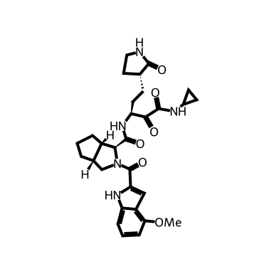 COc1cccc2[nH]c(C(=O)N3C[C@@H]4CCC[C@@H]4[C@H]3C(=O)N[C@@H](CC[C@@H]3CCNC3=O)C(=O)C(=O)NC3CC3)cc12